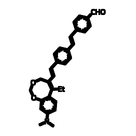 CC/C1=C(\C=C\c2ccc(/C=C/c3ccc(C=O)cc3)cc2)COCOc2cc(N(C)C)ccc21